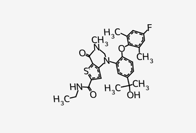 CCNC(=O)c1cc2c(s1)C(=O)N(C)CN2c1cc(C(C)(C)O)ccc1Oc1c(C)cc(F)cc1C